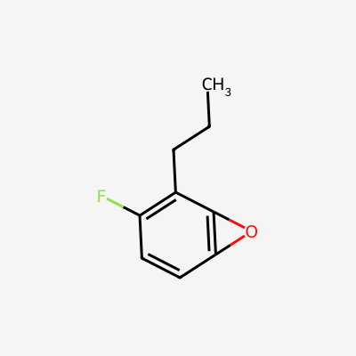 CCCc1c(F)ccc2c1O2